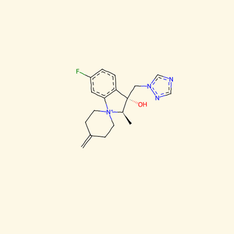 C=C1CC[N+]2(CC1)c1cc(F)ccc1[C@@](O)(Cn1cncn1)[C@H]2C